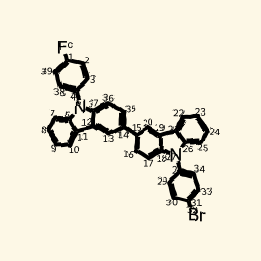 Fc1ccc(-n2c3ccccc3c3cc(-c4ccc5c(c4)c4ccccc4n5-c4ccc(Br)cc4)ccc32)cc1